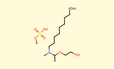 CCCCCCCCCCCCCCCCCCN(C)C(C)OCCO.COS(=O)(=O)O